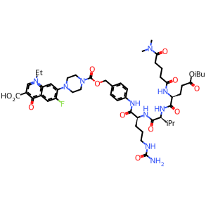 CCn1cc(C(=O)O)c(=O)c2cc(F)c(N3CCN(C(=O)OCc4ccc(NC(=O)[C@H](CCCNC(N)=O)NC(=O)[C@@H](NC(=O)[C@H](CCC(=O)OCC(C)C)NC(=O)CCCC(=O)N(C)C)C(C)C)cc4)CC3)cc21